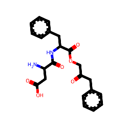 NC(CC(=O)O)C(=O)NC(Cc1ccccc1)C(=O)OCC(=O)Cc1ccccc1